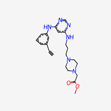 C#Cc1cccc(Nc2cc(NCCCN3CCN(CC(=O)OC)CC3)ncn2)c1